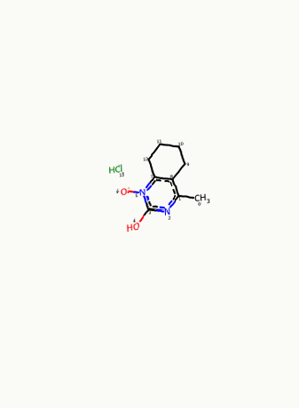 Cc1nc(O)[n+]([O-])c2c1CCCC2.Cl